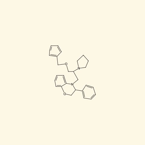 c1ccc(COCC(CN2c3ccccc3OCC2c2ccccc2)N2CCCC2)cc1